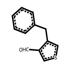 O=Cc1cscc1Cc1ccccc1